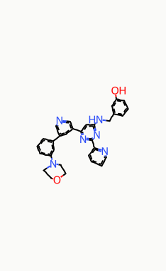 Oc1cccc(CNc2cc(-c3cncc(-c4cccc(N5CCOCC5)c4)c3)nc(-c3ccccn3)n2)c1